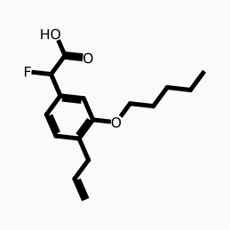 C=CCc1ccc(C(F)C(=O)O)cc1OCCCCC